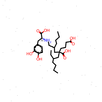 CCCCC(CC)CC(CCCC(=O)O)(CC(CC)CCCC)C(=O)O.N[C@@H](Cc1ccc(O)c(O)c1)C(=O)O